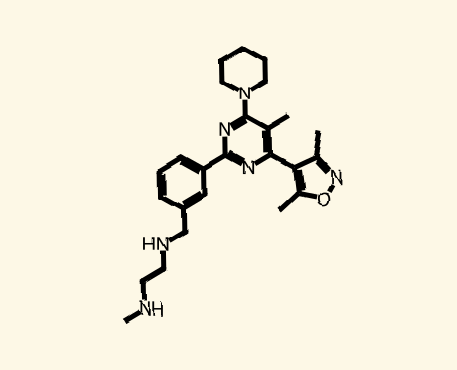 CNCCNCc1cccc(-c2nc(-c3c(C)noc3C)c(C)c(N3CCCCC3)n2)c1